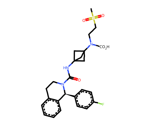 CS(=O)(=O)CCN(C(=O)O)C12CC(NC(=O)N3CCc4ccccc4[C@@H]3c3ccc(F)cc3)(C1)C2